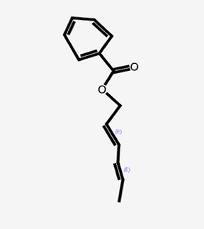 C/C=C/C=C/COC(=O)c1ccccc1